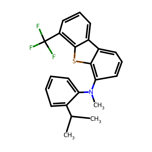 CC(C)c1ccccc1N(C)c1cccc2c1sc1c(C(F)(F)F)cccc12